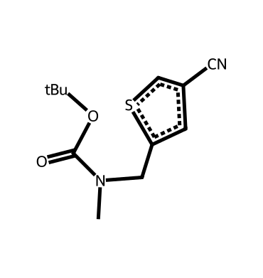 CN(Cc1cc(C#N)cs1)C(=O)OC(C)(C)C